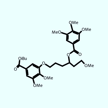 COCCC(CCCOc1cc(C(=O)OCC(C)C)cc(OC)c1OC)OC(=O)c1cc(OC)c(OC)c(OC)c1